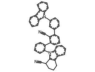 N#Cc1c(-c2cccc(-n3c4ccccc4c4ccccc43)c2)cccc1-c1ccccc1-n1c2c(c3ccccc31)CCCC2C#N